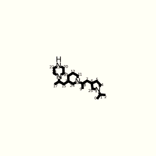 CC(C)N1CCC(CC(C)N2CCCC(CC(C)N3CCNCC3)C2)C1